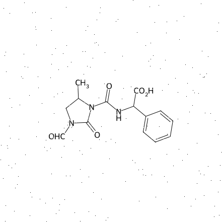 CC1CN(C=O)C(=O)N1C(=O)NC(C(=O)O)c1ccccc1